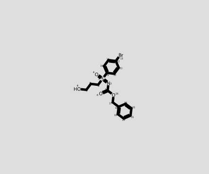 O=C(N=S(=O)(CCCO)c1ccc(Br)cc1)OCc1ccccc1